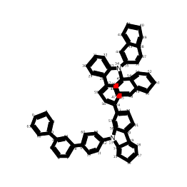 c1ccc(-c2cccc(-c3ccc(-n4c5ccccc5c5ccc(-c6ccc(-c7ccccc7N(c7ccc8ccccc8c7)c7cccc8ccccc78)cc6)cc54)cc3)c2)cc1